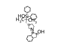 CC(C)(C[C@@H]1CCN([C@@H]2c3ccccc3C[C@H]2O)C1)[Si](O)(c1ccccc1)c1ccccc1